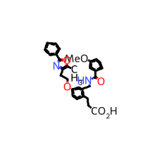 COc1cccc(C(=O)NCc2cc(OCCc3nc(-c4ccccc4)oc3C)ccc2CCC(=O)O)c1